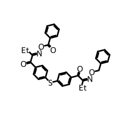 CCC(=NOCc1ccccc1)C(=O)c1ccc(Sc2ccc(C(=O)C(CC)=NOC(=O)c3ccccc3)cc2)cc1